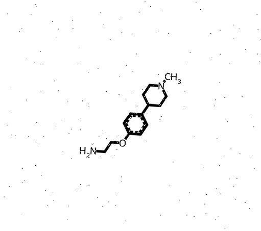 CN1CCC(c2ccc(OCCN)cc2)CC1